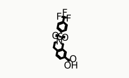 O=C(O)c1ccc2c(c1)CN(S(=O)(=O)c1ccc(C(F)(F)F)cc1)CC2